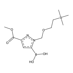 COC(=O)c1cc(B(O)O)n(COCC[Si](C)(C)C)n1